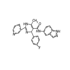 CC1=C(C(=O)Nc2ccc3[nH]ncc3c2)C(c2ccc(F)cc2)N=C(c2cccnc2)N1